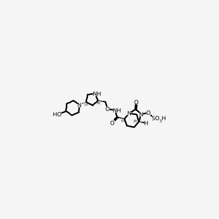 O=C(NOC[C@H]1C[C@H](N2CCC(O)CC2)CN1)[C@@H]1CC[C@@H]2CN1C(=O)N2OS(=O)(=O)O